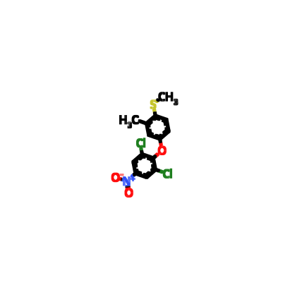 CSc1ccc(Oc2c(Cl)cc([N+](=O)[O-])cc2Cl)cc1C